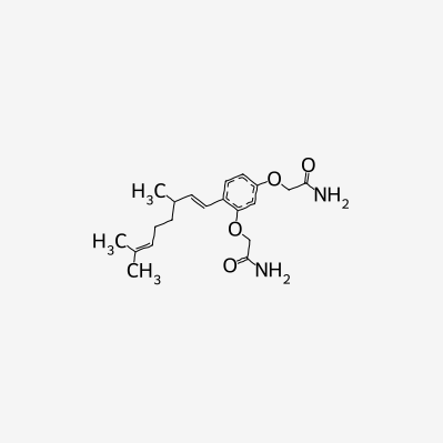 CC(C)=CCCC(C)C=Cc1ccc(OCC(N)=O)cc1OCC(N)=O